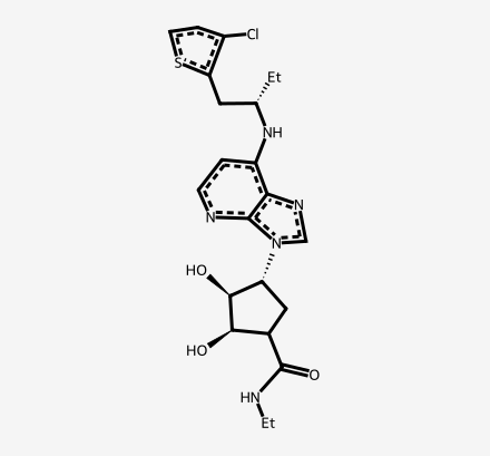 CCNC(=O)C1C[C@@H](n2cnc3c(N[C@@H](CC)Cc4sccc4Cl)ccnc32)[C@H](O)[C@@H]1O